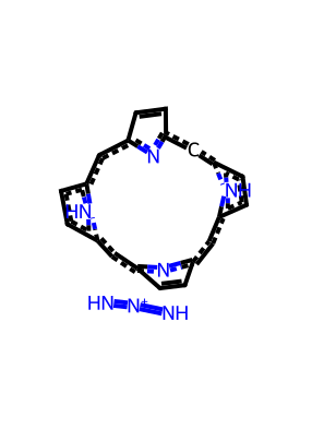 C1=Cc2cc3ccc(cc4nc(cc5ccc(cc1n2)[nH]5)C=C4)[nH]3.N=[N+]=N